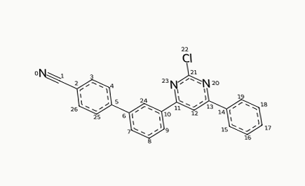 N#Cc1ccc(-c2cccc(-c3cc(-c4ccccc4)nc(Cl)n3)c2)cc1